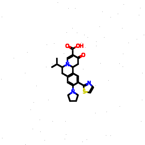 CC(C)C1Cc2cc(N3CCCC3)c(-c3nccs3)cc2C2CC(=O)C(C(=O)O)=CN21